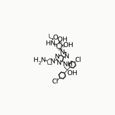 CCC(=O)N[C@H]1C[C@@H](n2cnc3c(NCC(O)(c4ccc(Cl)cc4)c4ccc(Cl)cc4)nc(N4CCC(N)C4)nc32)[C@H](O)[C@@H]1O